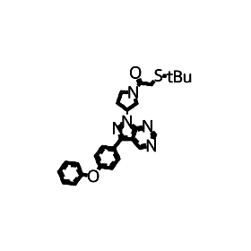 CC(C)(C)SCC(=O)N1CC[C@@H](n2nc(-c3ccc(Oc4ccccc4)cc3)c3cncnc32)C1